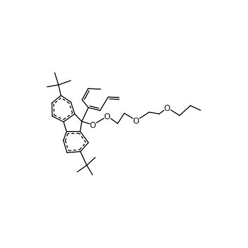 C=C/C=C(\C=C/C)C1(OOCCOCCOCCC)c2cc(C(C)(C)C)ccc2-c2ccc(C(C)(C)C)cc21